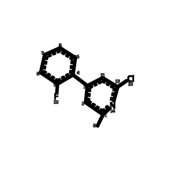 Cc1cc(-c2[c]cccc2F)cc(Cl)n1